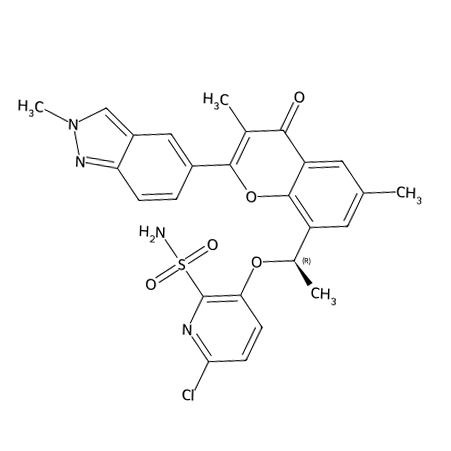 Cc1cc([C@@H](C)Oc2ccc(Cl)nc2S(N)(=O)=O)c2oc(-c3ccc4nn(C)cc4c3)c(C)c(=O)c2c1